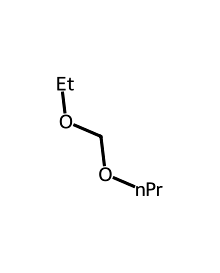 [CH2]CCOCOCC